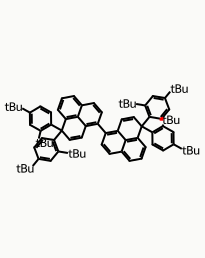 CC(C)(C)c1ccc(C2(c3ccc(C(C)(C)C)cc3C(C)(C)C)C=Cc3c(-c4ccc5cccc6c5c4C=CC6(c4ccc(C(C)(C)C)cc4C(C)(C)C)c4ccc(C(C)(C)C)cc4C(C)(C)C)ccc4cccc2c34)c(C(C)(C)C)c1